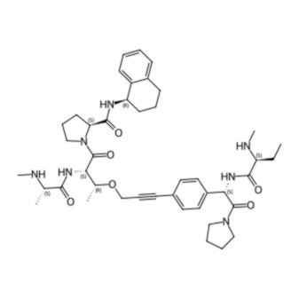 CC[C@H](NC)C(=O)N[C@H](C(=O)N1CCCC1)c1ccc(C#CCO[C@H](C)[C@H](NC(=O)[C@H](C)NC)C(=O)N2CCC[C@H]2C(=O)N[C@@H]2CCCc3ccccc32)cc1